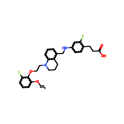 COc1cccc(F)c1OCCN1CCCc2c(CNc3ccc(CCC(=O)O)c(F)c3)cccc21